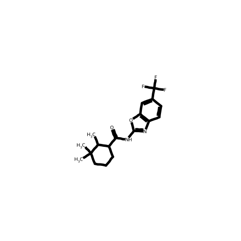 CC1C(C(=O)Nc2nc3ccc(C(F)(F)F)cc3o2)CCCC1(C)C